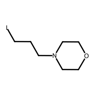 ICCCN1CCOCC1